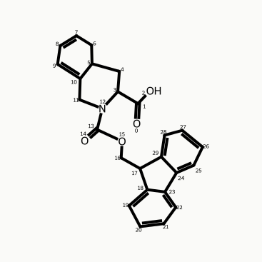 O=C(O)C1CC2CC=CC=C2CN1C(=O)OCC1c2ccccc2-c2ccccc21